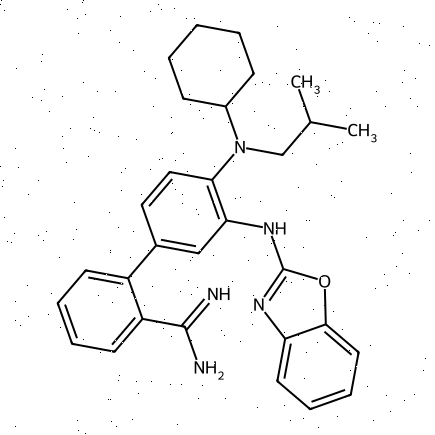 CC(C)CN(c1ccc(-c2ccccc2C(=N)N)cc1Nc1nc2ccccc2o1)C1CCCCC1